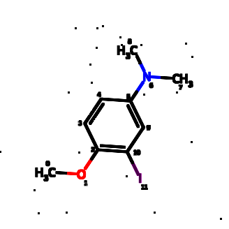 COc1ccc(N(C)C)cc1I